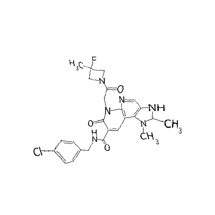 CC1Nc2cnc3c(cc(C(=O)NCc4ccc(Cl)cc4)c(=O)n3CC(=O)N3CC(C)(F)C3)c2N1C